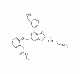 CCOC(=O)Cc1ccccc1OCc1cc(-c2cccc(CN)c2)c2oc(CNCCN)cc2c1